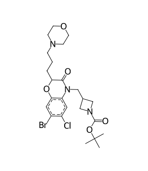 CC(C)(C)OC(=O)N1CC(CN2C(=O)C(CCCN3CCOCC3)Oc3cc(Br)c(Cl)cc32)C1